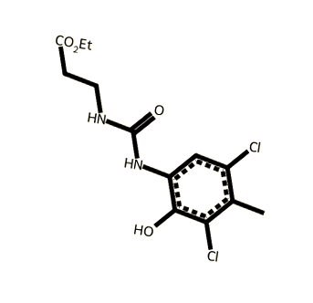 CCOC(=O)CCNC(=O)Nc1cc(Cl)c(C)c(Cl)c1O